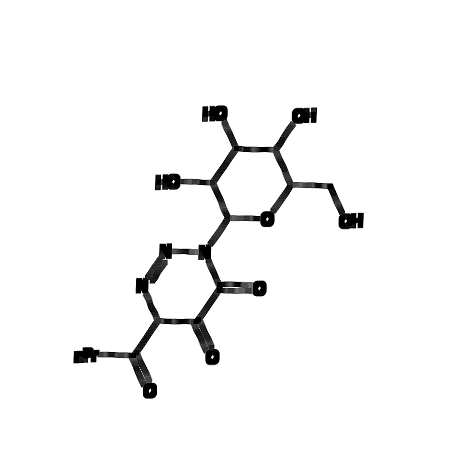 CCCC(=O)C1N=NN(C2OC(CO)C(O)C(O)C2O)C(=O)C1=O